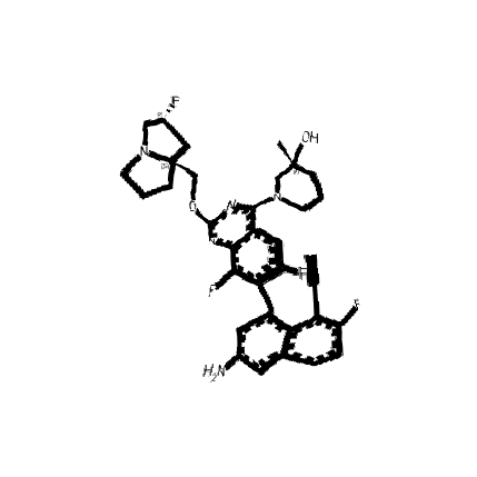 C#Cc1c(F)ccc2cc(N)cc(-c3c(F)cc4c(N5CCC[C@@](C)(O)C5)nc(OC[C@@]56CCCN5C[C@H](F)C6)nc4c3F)c12